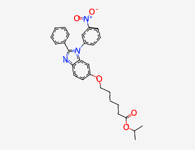 CC(C)OC(=O)CCCCCOc1ccc2nc(-c3ccccc3)n(-c3cccc([N+](=O)[O-])c3)c2c1